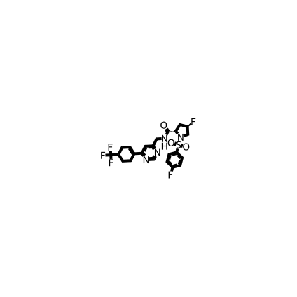 O=C(NCc1cc(C2=CCC(C(F)(F)F)CC2)ncn1)[C@@H]1C[C@@H](F)CN1S(=O)(=O)c1ccc(F)cc1